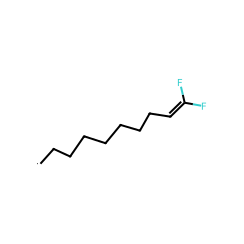 [CH2]CCCCCCCC=C(F)F